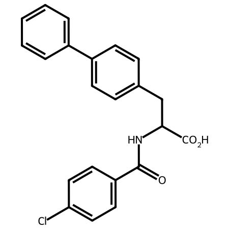 O=C(NC(Cc1ccc(-c2ccccc2)cc1)C(=O)O)c1ccc(Cl)cc1